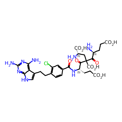 Nc1nc(N)c2c(CCc3ccc(C(=O)N[C@@H](CCC(=O)O)C(=O)C(C[C@H](N)C(=O)O)(C(=O)O)C(=O)[C@@H](N)CCC(=O)O)cc3Cl)c[nH]c2n1